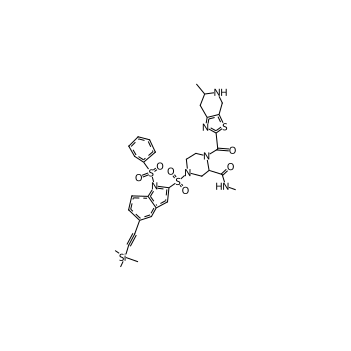 CNC(=O)C1CN(S(=O)(=O)c2cc3cc(C#C[Si](C)(C)C)ccc3n2S(=O)(=O)c2ccccc2)CCN1C(=O)c1nc2c(s1)CNC(C)C2